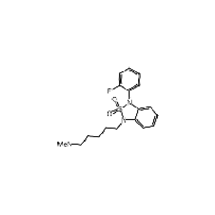 CNCCCCCN1c2ccccc2N(c2ccccc2F)S1(=O)=O